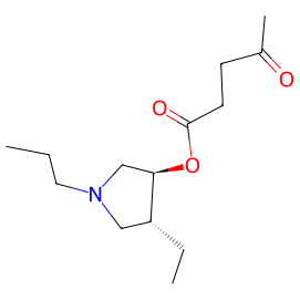 CCCN1C[C@@H](CC)[C@H](OC(=O)CCC(C)=O)C1